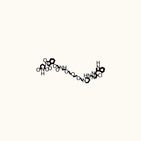 O=C(COc1cccc2c1C(=O)N(C1CCC(=O)NC1=O)C2=O)NCCOCCOCCOCCN1CCC[C@@H](Nc2ncc(Cl)c(-c3c[nH]c4ccccc34)n2)C1